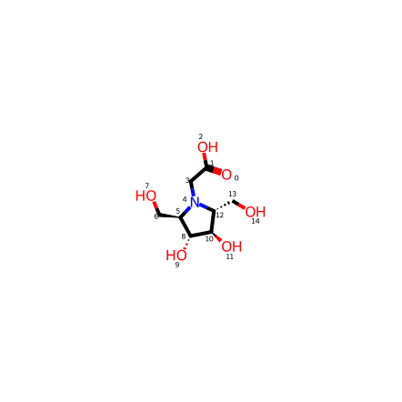 O=C(O)CN1[C@H](CO)[C@@H](O)[C@H](O)[C@H]1CO